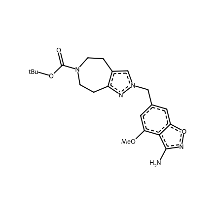 COc1cc(Cn2cc3c(n2)CCN(C(=O)OC(C)(C)C)CC3)cc2onc(N)c12